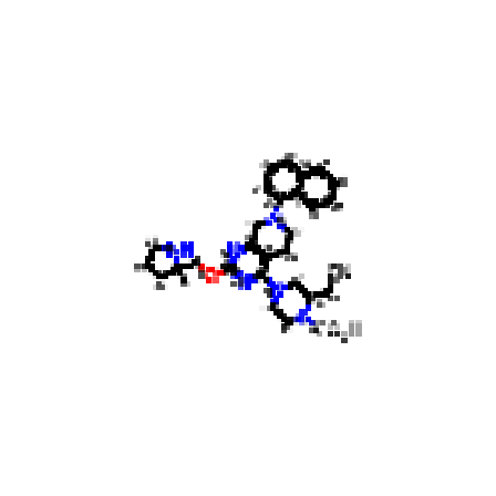 C[C@@]1(COc2nc3c(c(N4CCN(C(=O)O)C(CC#N)C4)n2)CCN(c2cccc4ccccc24)C3)CCCN1